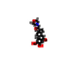 C[C@@H]1CN(CC(=O)[C@H]2CCC3C4=CC(=O)[C@]5(C)C[C@@H](O)[C@@H](O)C[C@]5(C)C4CC[C@@]32C)C[C@H](C)O1